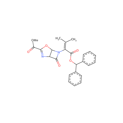 COC(=O)C1=NC2C(=O)N(C(C(=O)OC(c3ccccc3)c3ccccc3)=C(C)C)C2O1